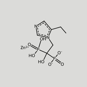 CCc1cncn1CC(O)(P(=O)([O-])[O-])P(=O)(O)O.[Zn+2]